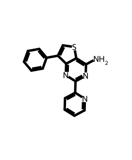 Nc1nc(-c2ccccn2)nc2c(-c3ccccc3)csc12